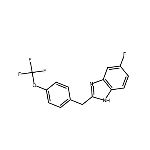 Fc1ccc2[nH]c(Cc3ccc(OC(F)(F)F)cc3)nc2c1